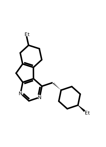 CCC1CCC2=C(Cc3ncnc(C[C@H]4CC[C@H](CC)CC4)c32)C1